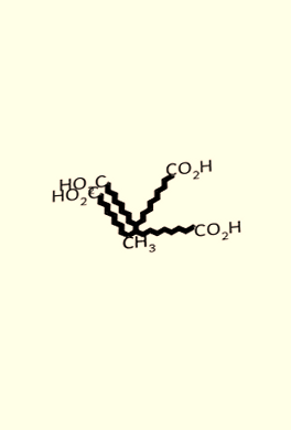 CC(CCCCCCCCC(=O)O)C(CCCCCCCCC(=O)O)C(CCCCCCCCCC(=O)O)CCCCCCCCC(=O)O